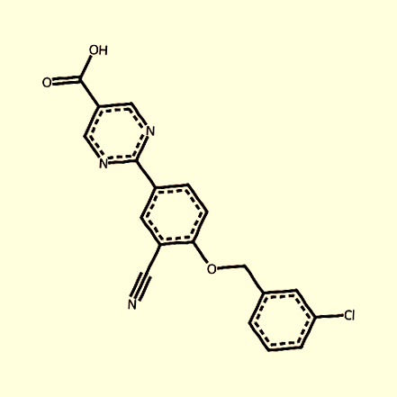 N#Cc1cc(-c2ncc(C(=O)O)cn2)ccc1OCc1cccc(Cl)c1